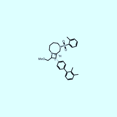 COCC1[C@@H](c2ccc(-c3cccc(C)c3C)cc2)[C@@H]2CN(S(=O)(=O)c3ccccc3C)CCCCN12